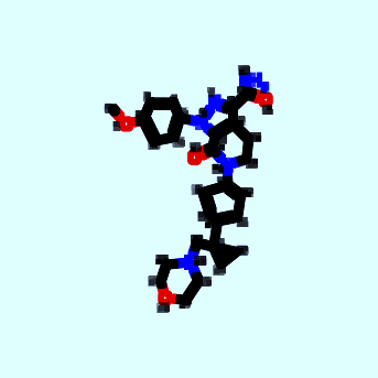 COc1ccc(-n2nc(C(N)=O)c3c2C(=O)N(c2ccc(C4(CN5CCOCC5)CC4)cc2)CC3)cc1